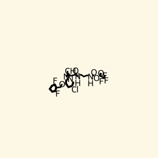 Cc1nc2c(OCc3c(F)cccc3F)cc(Cl)cn2c1C(=O)NCCCNC(=O)OC(=O)C(F)(F)F